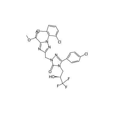 COC(=O)c1nc(Cn2nc(-c3ccc(Cl)cc3)n(C[C@H](O)C(F)(F)F)c2=O)nn1-c1c(Cl)cccc1Cl